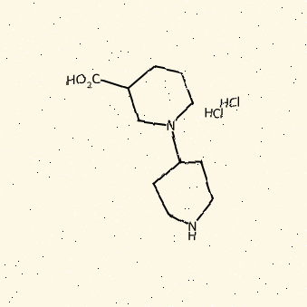 Cl.Cl.O=C(O)C1CCCN(C2CCNCC2)C1